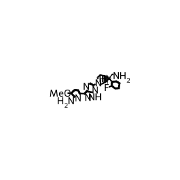 COc1ccc(-c2n[nH]c3nc(N4CC[C@@H]5[C@H](C4)[C@@]5(CN)c4ccccc4F)cnc23)nc1N